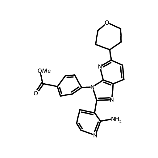 COC(=O)c1ccc(-n2c(-c3cccnc3N)nc3ccc(C4CCOCC4)nc32)cc1